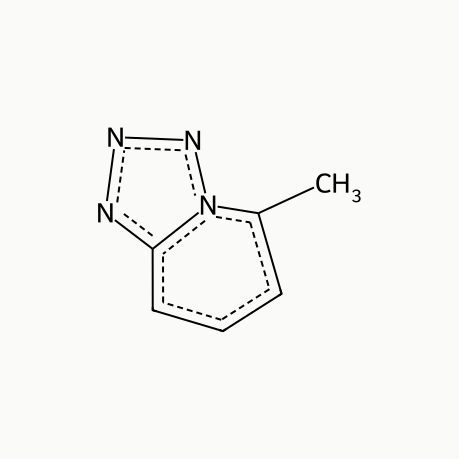 Cc1cccc2nnnn12